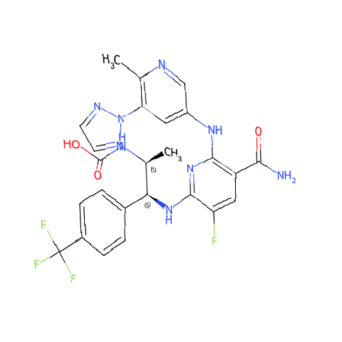 Cc1ncc(Nc2nc(N[C@@H](c3ccc(C(F)(F)F)cc3)[C@H](C)NC(=O)O)c(F)cc2C(N)=O)cc1-n1nccn1